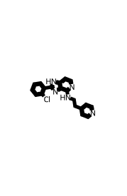 Clc1ccccc1-c1nc2c(NCCc3ccncc3)nccc2[nH]1